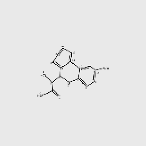 O=C(O)C(O)C1Oc2ccc(Cl)cc2-c2ccccc21